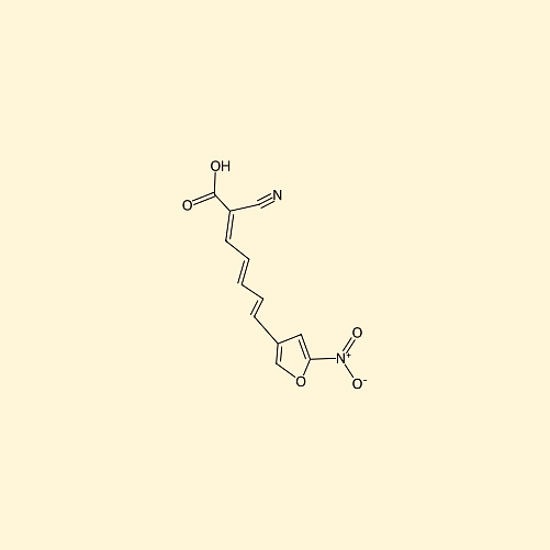 N#C\C(=C/C=C/C=C/c1coc([N+](=O)[O-])c1)C(=O)O